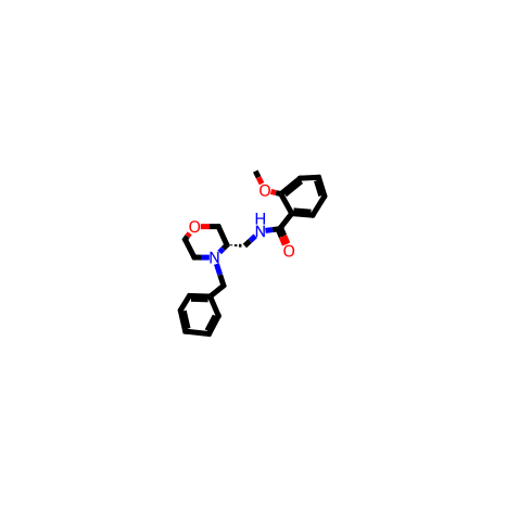 COc1ccccc1C(=O)NC[C@H]1COCCN1Cc1ccccc1